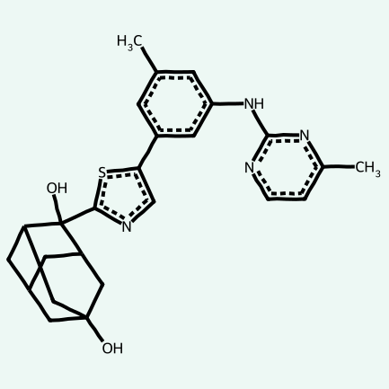 Cc1cc(Nc2nccc(C)n2)cc(-c2cnc(C3(O)C4CC5CC3CC(O)(C5)C4)s2)c1